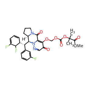 COC(=O)C(C)(C)OC(=O)OCOc1c2n(ncc1=O)[C@@H]([C@H](c1cccc(F)c1)C1C=CC=C(F)C1F)[C@H]1CCCN1C2=O